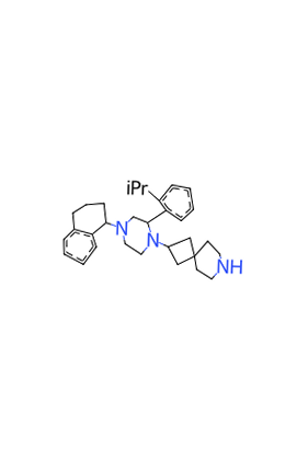 CC(C)c1ccccc1C1CN(C2CCCc3ccccc32)CCN1C1CC2(CCNCC2)C1